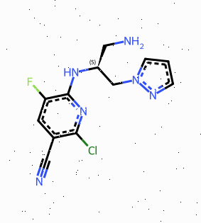 N#Cc1cc(F)c(N[C@@H](CN)Cn2cccn2)nc1Cl